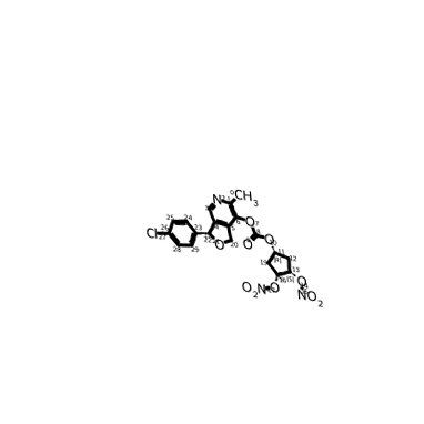 Cc1ncc2c(c1OC(=O)O[C@@H]1C[C@H](O[N+](=O)[O-])[C@H](O[N+](=O)[O-])C1)CO[C@H]2c1ccc(Cl)cc1